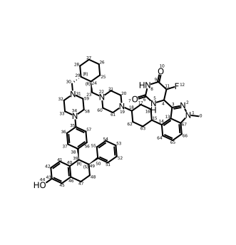 Cn1nc(C2NC(=O)NC(=O)C2F)c2c(C3CCC(N4CCN(C[C@@H]5CCCC[C@H]5CN5CCN(c6ccc([C@@H]7c8ccc(O)cc8CC[C@@H]7c7ccccc7)cc6)CC5)CC4)CC3)cccc21